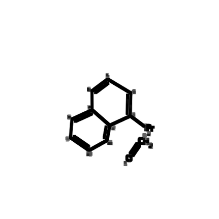 C=O.CC(C)c1cccc2ccccc12